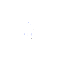 CC1(C)C=CC=CC(=N)N1